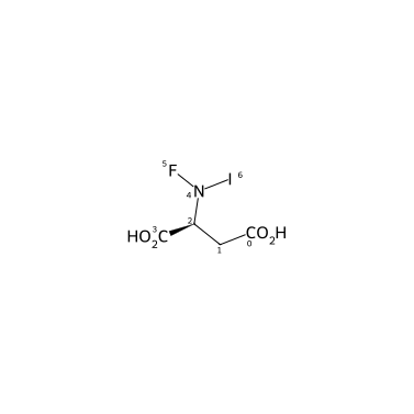 O=C(O)C[C@@H](C(=O)O)N(F)I